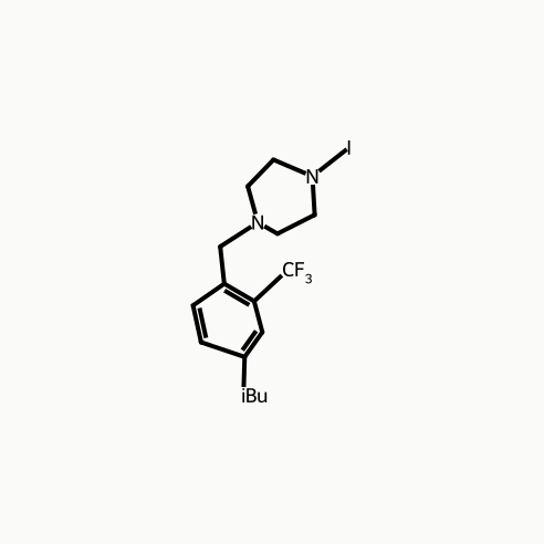 CCC(C)c1ccc(CN2CCN(I)CC2)c(C(F)(F)F)c1